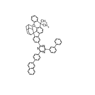 CC1(C)c2ccccc2Oc2c1ccc1c2C2(c3ccc(-c4nc(-c5ccc(-c6ccc7ccccc7c6)cc5)nc(-c5cccc(-c6ccccc6)c5)n4)cc3-1)C1CC3CC(C1)CC2C3